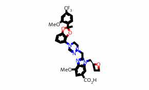 COc1cc(C(F)(F)F)ccc1C1(C)Oc2cccc(N3C=NN(Cc4nc5c(OC)cc(C(=O)O)cc5n4C[C@@H]4CCO4)CC3)c2O1